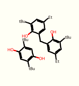 CC(C)(C)c1cc(O)c(C(C)(C)C)cc1O.CCc1cc(Cc2cc(CC)cc(C(C)(C)C)c2O)c(O)c(C(C)(C)C)c1